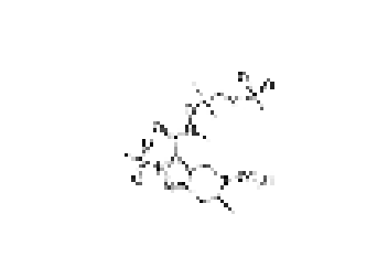 CC1Cc2nn(S(C)(=O)=O)c(C(=O)N(C)OC(C)(C)COS(C)(=O)=O)c2CN1C(=O)O